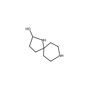 OC1CCC2(CCNCC2)N1